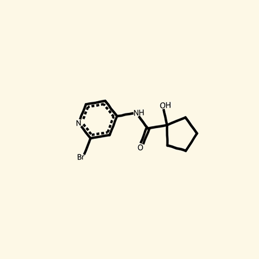 O=C(Nc1ccnc(Br)c1)C1(O)CCCC1